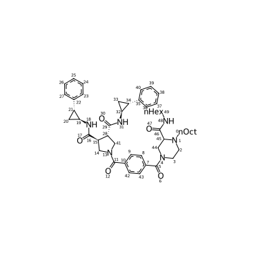 CCCCCCCCN1CCN(C(=O)c2ccc(C(=O)N3C[C@@H](C(=O)N[C@H]4C[C@@H]4c4ccccc4)[C@H](C(=O)N[C@H]4C[C@@H]4c4ccccc4)C3)cc2)CC1C(=O)NCCCCCC